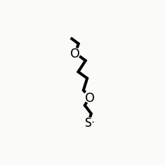 CCOCCCCOCC[S]